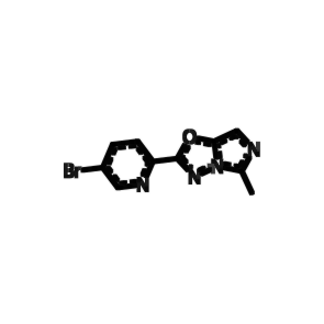 Cc1ncc2oc(-c3ccc(Br)cn3)nn12